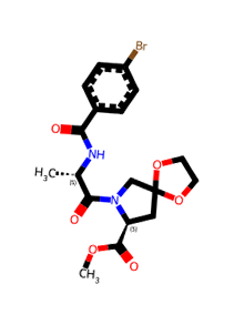 COC(=O)[C@@H]1CC2(CN1C(=O)[C@H](C)NC(=O)c1ccc(Br)cc1)OCCO2